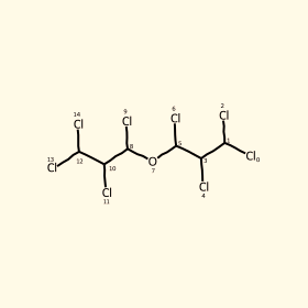 ClC(Cl)C(Cl)C(Cl)OC(Cl)C(Cl)C(Cl)Cl